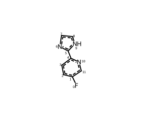 Fc1ccc(-c2ncc[nH]2)nc1